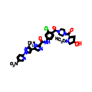 Cn1c(-c2cn(-c3ccc([N+](=O)[O-])cn3)nc2C(F)(F)F)cnc1C(=O)Nc1ccc(C(=O)N2CCN(C(=O)[C@@H]3C[C@@H](O)CN3C(=O)O)CC2)c(Cl)c1